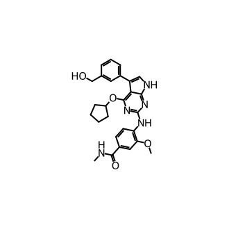 CNC(=O)c1ccc(Nc2nc(OC3CCCC3)c3c(-c4cccc(CO)c4)c[nH]c3n2)c(OC)c1